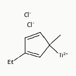 CCC1=C[C](C)([Ti+2])C=C1.[Cl-].[Cl-]